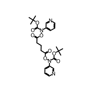 CC(C)(C)OC(=O)N(OC(=O)CCCC(=O)ON(C(=O)OC(C)(C)C)c1cccnc1)c1cccnc1